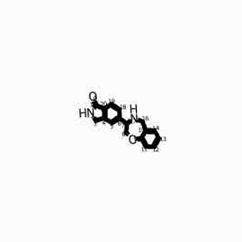 O=C1NCc2cc(C3COc4ccccc4CN3)ccc21